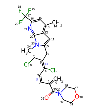 C=C(/C=C\C(Cl)=C(/CCl)Cc1cc2c(C)cc(C(F)(F)F)nc2n1C)C(=O)N1CCOCC1